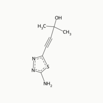 CC(C)(O)C#Cc1nnc(N)s1